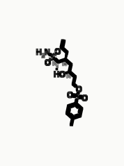 C=CC[C@@H](C[C@H](O)CCOS(=O)(=O)c1ccc(C)cc1)[C@H](C)S(N)(=O)=O